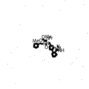 CCCc1c(C(OC)OC)n(CCc2ccccc2)c(=O)n1Cc1ccc(-c2ccccc2-c2nnn[nH]2)cc1